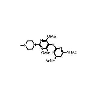 COc1nc(N2CCN(C)CC2)nc(OC)c1SC1=NC(NC(C)=O)CC(NC(C)=O)=N1